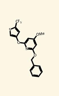 COc1cc(OCc2ccccc2)nc(Oc2csc(C(F)(F)F)c2)c1